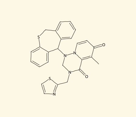 Cc1c2n(ccc1=O)N(C1c3ccccc3CSc3ccccc31)CN(Cc1nccs1)C2=O